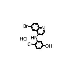 Cl.Oc1ccc(Cl)c(Nc2ccnc3ccc(Br)cc23)c1